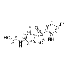 O=C1Nc2cc(F)ccc2/C1=C1\OCc2cc(NCCO)ccc21